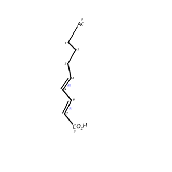 CC(=O)CCC/C=C/C=C/C(=O)O